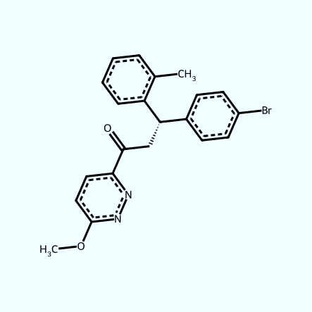 COc1ccc(C(=O)C[C@@H](c2ccc(Br)cc2)c2ccccc2C)nn1